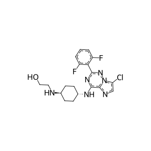 OCCN[C@H]1CC[C@H](Nc2nc(-c3c(F)cccc3F)nn3c(Cl)cnc23)CC1